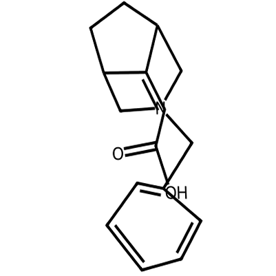 O=C(O)C=C1C2CCC1CN(Cc1ccccc1)C2